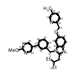 CCC(CC)Cc1nc2ccc(OCc3ccc(C)cn3)cc2n1Cc1cccc(-c2cnc(OC)nc2)c1